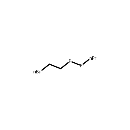 CCCCCC[P][P]CCC